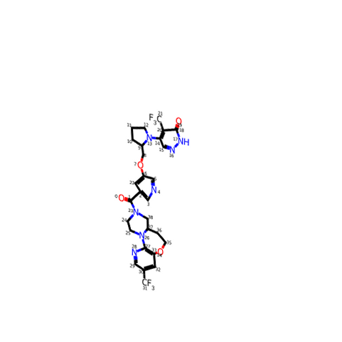 O=C(c1cncc(OCC2CCCN2c2cn[nH]c(=O)c2C(F)(F)F)c1)N1CCN2c3ncc(C(F)(F)F)cc3OCCC2C1